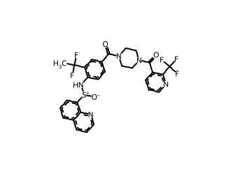 CC(F)(F)c1cc(C(=O)N2CCN(C(=O)c3cccnc3C(F)(F)F)CC2)ccc1N[S+]([O-])c1cccc2cccnc12